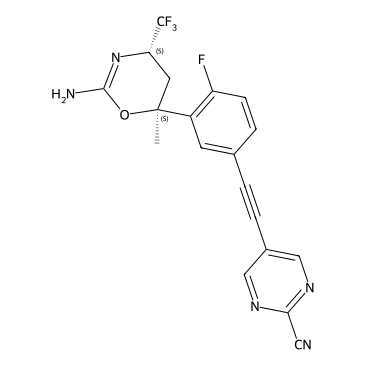 C[C@@]1(c2cc(C#Cc3cnc(C#N)nc3)ccc2F)C[C@@H](C(F)(F)F)N=C(N)O1